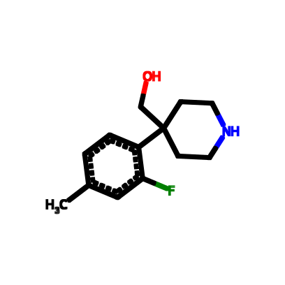 Cc1ccc(C2(CO)CCNCC2)c(F)c1